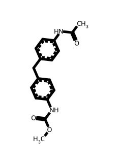 COC(=O)Nc1ccc(Cc2ccc(NC(C)=O)cc2)cc1